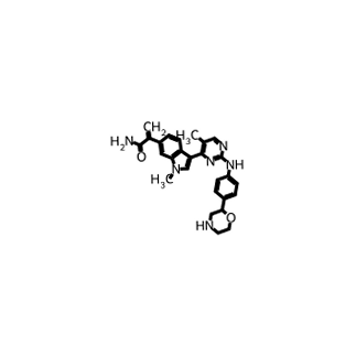 C=C(C(N)=O)c1ccc2c(-c3nc(Nc4ccc(C5CNCCO5)cc4)ncc3C)cn(C)c2c1